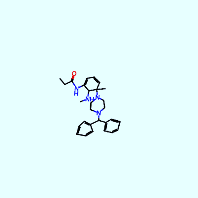 CCC(=O)NC1=CC=CC(C)(N2CCN(C(c3ccccc3)c3ccccc3)CC2)C1NC